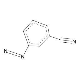 [N]=Nc1cccc(C#N)c1